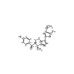 COc1nc(-c2nnc3n2CCN(C(=O)c2ccc(F)cc2)[C@@H]3C)sc1F